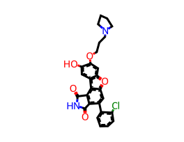 O=C1NC(=O)c2c1c(-c1ccccc1Cl)cc1oc3cc(OCCCN4CCCC4)c(O)cc3c21